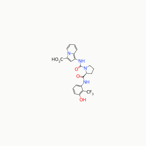 O=C(O)c1cc(NC(=O)N2CCC[C@H]2C(=O)Nc2cccc(O)c2C(F)(F)F)c2ccccn12